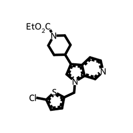 CCOC(=O)N1CCC(c2cn(Cc3ccc(Cl)s3)c3cnccc23)CC1